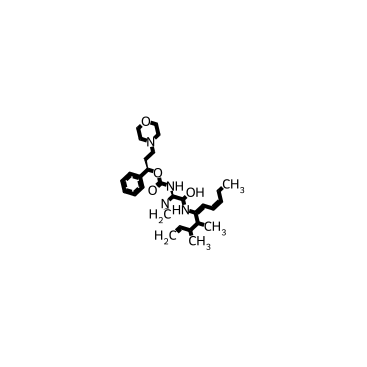 C=CC(C)C(C)/C(=C\C=C/CC)NC(O)[C@@H](N=C)NC(=O)O[C@H](CCN1CCOCC1)c1ccccc1